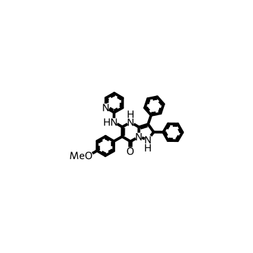 COc1ccc(C2=C(Nc3ccccn3)NC3=C(c4ccccc4)C(c4ccccc4)NN3C2=O)cc1